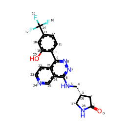 O=C1C[C@@H](CNc2nnc(-c3ccc(C(F)(F)F)cc3O)c3ccncc23)CN1